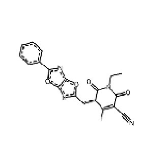 CCN1C(=O)C(C#N)=C(C)/C(=C/c2nc3oc(-c4ccccc4)nc3o2)C1=O